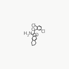 Nc1c(C(=O)c2cc(Cl)ccc2Cl)oc2cc3c(cc12)CCCC3